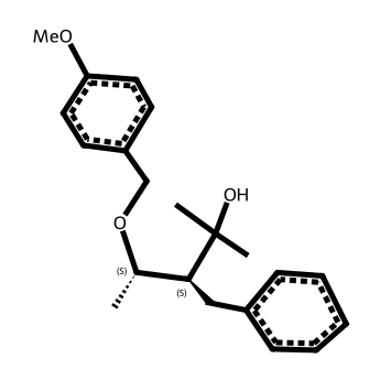 COc1ccc(CO[C@@H](C)[C@H](Cc2ccccc2)C(C)(C)O)cc1